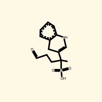 CC(CCC=O)(C1=CNc2ccccc2C1)S(=O)(=O)O